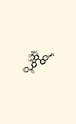 N#CN1CCc2c(cccc2-c2ccc(C(N)=O)c3[nH]c4cc(C(=O)N5CCOCC5)ccc4c23)C1